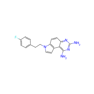 Nc1nc(N)c2c(ccc3c2ccn3CCc2ccc(F)cc2)n1